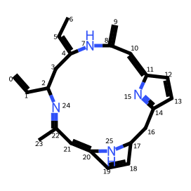 C=CC1C/C(=C/C)NC(=C)/C=C2/C=CC(=N2)CC2C=C/C(=C/C(C)=N/1)N2